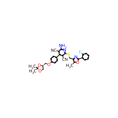 Cc1oc(-c2ccccc2F)nc1CSc1nc(N)c(C#N)c(-c2ccc(OC[C@H]3COC(C)(C)O3)cc2)c1C#N